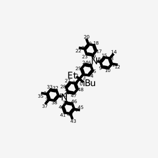 CCC(C)C(CC)(c1ccc(N(c2ccc(C)c(C)c2)c2ccc(C)c(C)c2)cc1)c1ccc(N(c2ccc(C)c(C)c2)c2ccc(C)c(C)c2)cc1